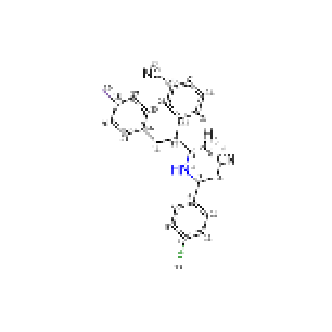 C[C@H](NC(CC#N)c1ccc(F)cc1)[C@@H](Cc1ccc(I)cc1)c1cccc(C#N)c1